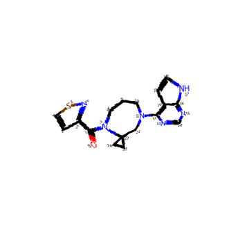 O=C(c1ccsn1)N1CCCN(c2ncnc3[nH]ccc23)CC12CC2